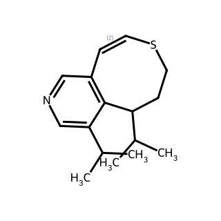 CC(C)c1cncc2c1C(C(C)C)CCS/C=C\2